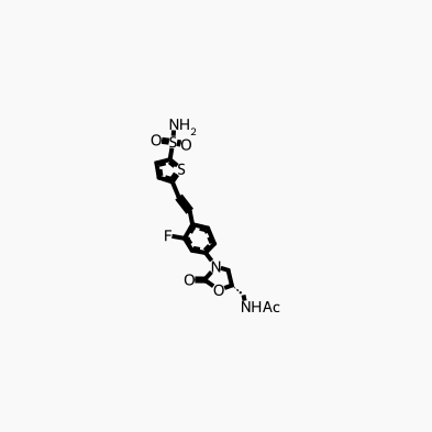 CC(=O)NC[C@H]1CN(c2ccc(C#Cc3ccc(S(N)(=O)=O)s3)c(F)c2)C(=O)O1